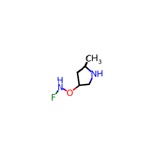 CC1CC(ONF)CN1